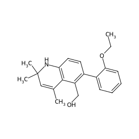 CCOc1ccccc1-c1ccc2c(c1CO)C(C)=CC(C)(C)N2